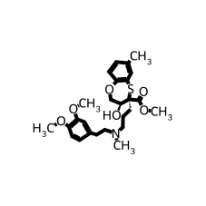 COC(=O)[C@]1(CCCN(C)CCc2ccc(OC)c(OC)c2)Sc2cc(C)ccc2OC[C@@H]1O